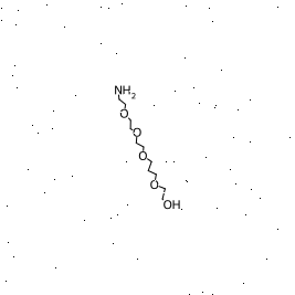 NCCOCCOCCOCCCOCCO